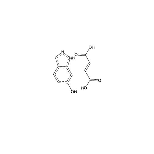 O=C(O)/C=C/C(=O)O.Oc1ccc2cn[nH]c2c1